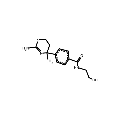 CC1(c2ccc(C(=O)NCCO)cc2)CCSC(N)=N1